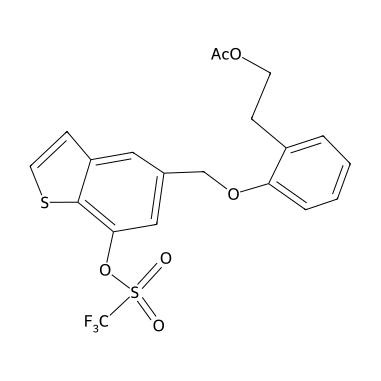 CC(=O)OCCc1ccccc1OCc1cc(OS(=O)(=O)C(F)(F)F)c2sccc2c1